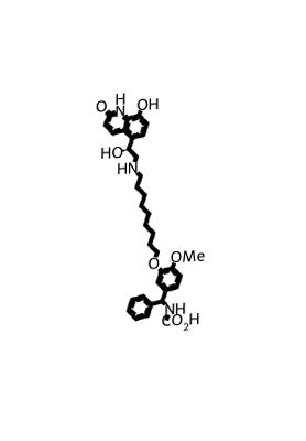 COc1ccc(C(NC(=O)O)c2ccccc2)cc1OCCCCCCCCCNC[C@H](O)c1ccc(O)c2[nH]c(=O)ccc12